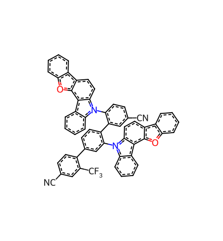 N#Cc1ccc(-n2c3ccccc3c3c4oc5ccccc5c4ccc32)c(-c2ccc(-c3ccc(C#N)cc3C(F)(F)F)cc2-n2c3ccccc3c3c4oc5ccccc5c4ccc32)c1